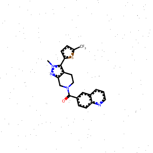 Cn1nc2c(c1-c1ccc(C(F)(F)F)s1)CCN(C(=O)c1ccc3ncccc3c1)C2